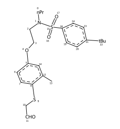 CCCN(CCOc1ccc(SCC=O)c(C)c1)S(=O)(=O)c1ccc(C(C)(C)C)cc1